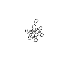 C=C(/C=C\C=C(/N)N1C(=O)c2c(c3c(c4ccccc4n3-c3ccccc3)c3c4ccccc4n(-c4ccccc4)c23)C1=O)C1CCCCC1